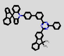 CC1(C)c2ccccc2-c2ccc(-c3nc(-c4ccccc4)nc(-c4cccc(-c5ccc(N6c7ccccc7C7(c8ccccc8-c8ccccc87)c7ccccc76)cc5)c4)n3)cc21